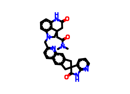 CN(C)C(=O)CC12CC(=O)Nc3cccc(c31)N(Cc1ccc3cc4c(cc3n1)CC1(C4)C(=O)Nc3ncccc31)C2